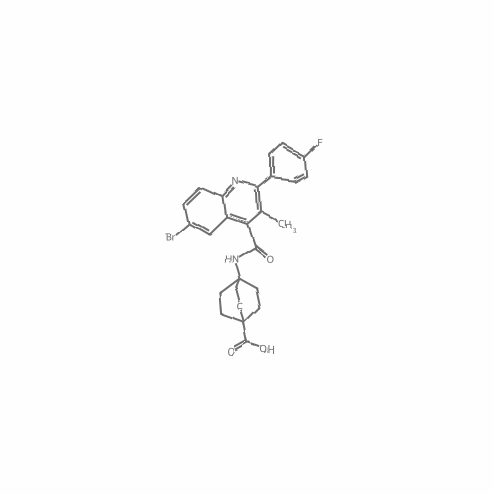 Cc1c(-c2ccc(F)cc2)nc2ccc(Br)cc2c1C(=O)NC12CCC(C(=O)O)(CC1)CC2